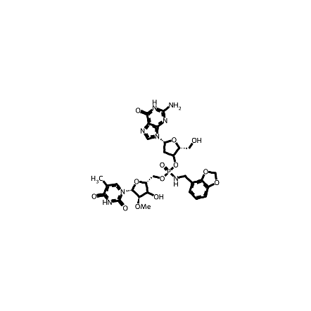 CO[C@@H]1C(O)[C@@H](COP(=O)(NCc2cccc3c2OCO3)OC2C[C@H](n3cnc4c(=O)[nH]c(N)nc43)O[C@@H]2CO)O[C@H]1n1cc(C)c(=O)[nH]c1=O